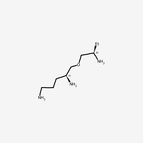 CC[C@@H](N)COC[C@@H](N)CCCN